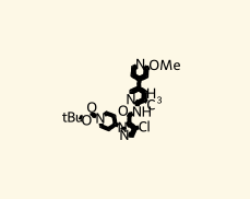 COc1cc(-c2cnc(NC(=O)c3c(Cl)cnn3C3CCN(C(=O)OC(C)(C)C)CC3)c(C)c2)ccn1